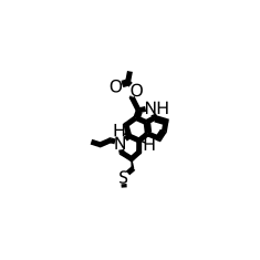 CCCN1C[C@H](CSC)C[C@@H]2c3cccc4[nH]c(COC(C)=O)c(c34)C[C@H]21